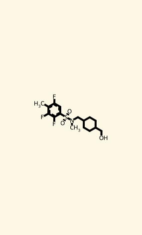 Cc1c(F)cc(S(=O)(=O)N(C)CC2CCC(CO)CC2)c(F)c1F